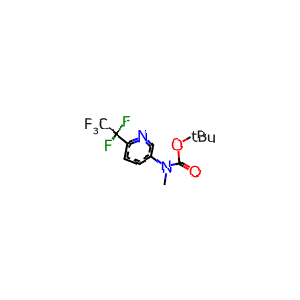 CN(C(=O)OC(C)(C)C)c1ccc(C(F)(F)C(F)(F)F)nc1